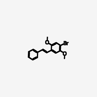 COc1cc(C=Cc2ccccc2)c(OC)cc1Br